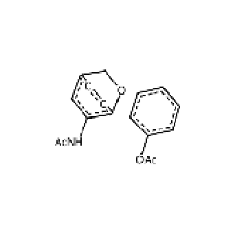 CC(=O)Nc1cc2ccc1OC2.CC(=O)Oc1ccccc1